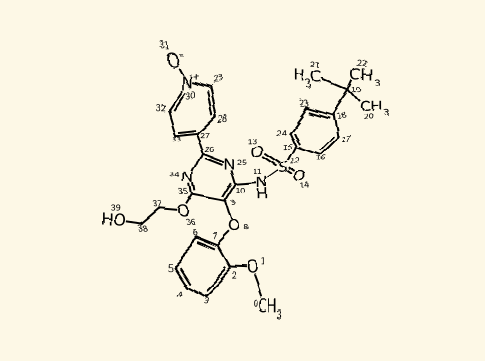 COc1ccccc1Oc1c(NS(=O)(=O)c2ccc(C(C)(C)C)cc2)nc(-c2cc[n+]([O-])cc2)nc1OCCO